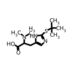 CN(C)C(Cc1cnc(SC(C)(C)C)[nH]1)C(=O)O